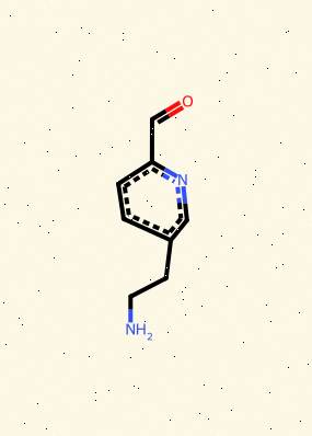 NCCc1ccc(C=O)nc1